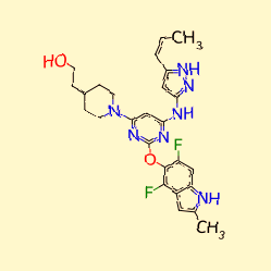 C/C=C\c1cc(Nc2cc(N3CCC(CCO)CC3)nc(Oc3c(F)cc4[nH]c(C)cc4c3F)n2)n[nH]1